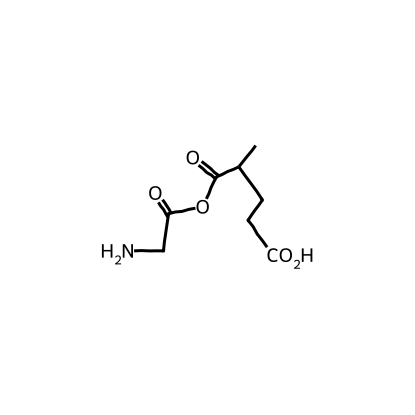 CC(CCC(=O)O)C(=O)OC(=O)CN